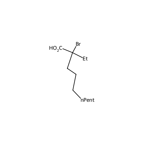 CCCCCCCCC(Br)(CC)C(=O)O